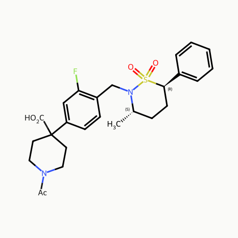 CC(=O)N1CCC(C(=O)O)(c2ccc(CN3[C@@H](C)CC[C@H](c4ccccc4)S3(=O)=O)c(F)c2)CC1